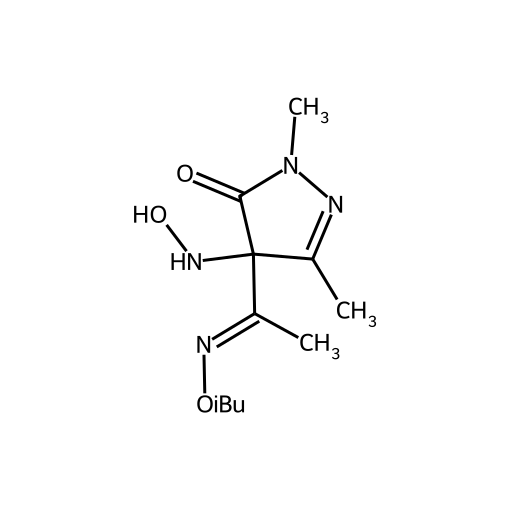 CC1=NN(C)C(=O)C1(NO)/C(C)=N/OCC(C)C